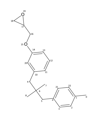 Cc1ccc(CC(C)(C)Cc2cccc(OCC3CO3)c2)cc1